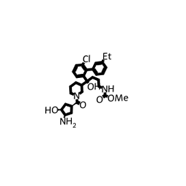 CCc1cccc(-c2c(Cl)cccc2C(O)(CCCNC(=O)OC)C2CCCN(C(=O)[C@H]3C[C@@H](N)[C@@H](O)C3)C2)c1